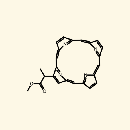 COC(=O)C(C)C1=CC2=CC3=NC(=CC4=NC(=CC5=NC(=CC1=N2)C=C5)C=C4)C=C3